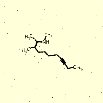 CCC#CCCCCC(C)C(C)NC